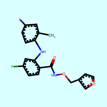 Cc1cc(I)ccc1Nc1cc(F)ccc1C(=O)NOCc1ccoc1